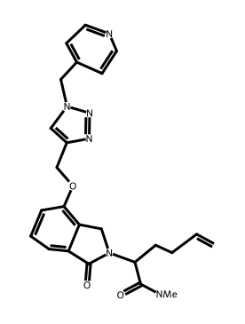 C=CCCC(C(=O)NC)N1Cc2c(OCc3cn(Cc4ccncc4)nn3)cccc2C1=O